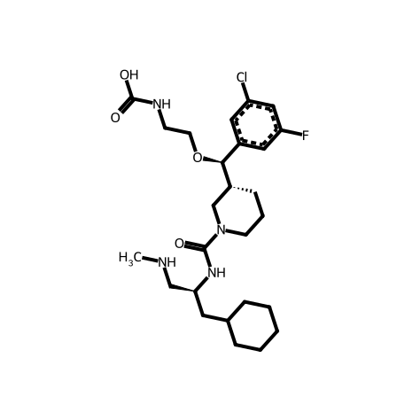 CNC[C@H](CC1CCCCC1)NC(=O)N1CCC[C@@H]([C@@H](OCCNC(=O)O)c2cc(F)cc(Cl)c2)C1